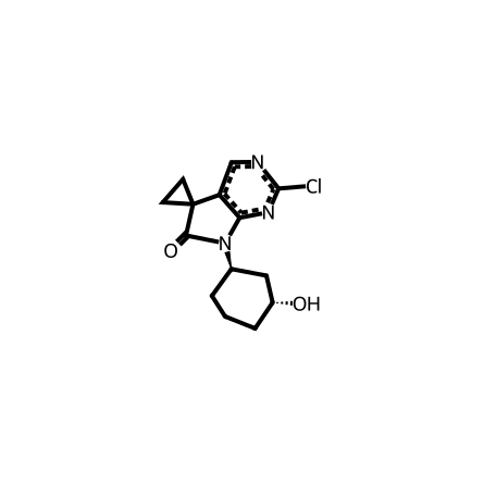 O=C1N([C@@H]2CCC[C@@H](O)C2)c2nc(Cl)ncc2C12CC2